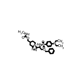 CCN(CC)c1ccc(S(=O)(=O)NC(COCc2ccccc2)c2nnc3n2CCC(COC(=O)NC)C3)cc1